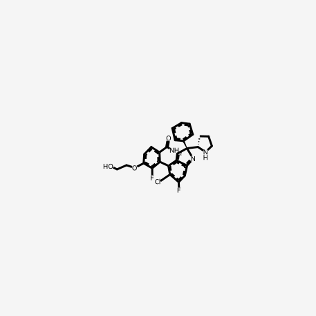 NC(=O)c1ccc(OCCO)c(F)c1-c1c(Cl)c(F)cc2c1=C[C@](c1ccccc1)([C@@H]1CCCN1)N=2